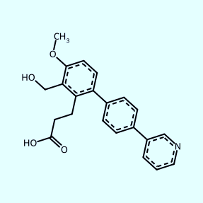 COc1ccc(-c2ccc(-c3cccnc3)cc2)c(CCC(=O)O)c1CO